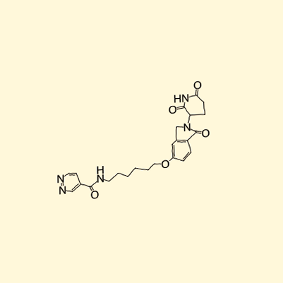 O=C1CCC(N2Cc3cc(OCCCCCCNC(=O)c4ccnnc4)ccc3C2=O)C(=O)N1